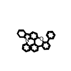 C1=Cc2c(n(-c3ccccc3)c3c4c(ccc23)Oc2c(-c3ccccc3)cccc2-c2ccccc2-4)CC1